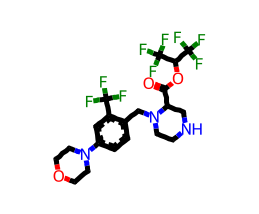 O=C(OC(C(F)(F)F)C(F)(F)F)C1CNCCN1Cc1ccc(N2CCOCC2)cc1C(F)(F)F